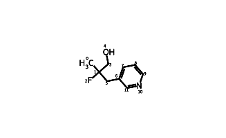 CC(F)(CO)Cc1cccnc1